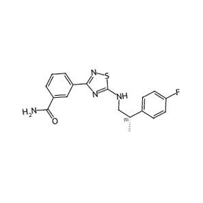 C[C@H](CNc1nc(-c2cccc(C(N)=O)c2)ns1)c1ccc(F)cc1